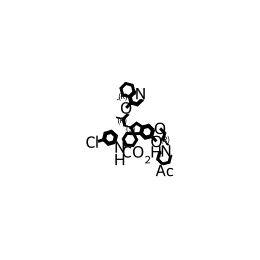 CC(=O)C1CCN(C[C@@H]2COc3cc4c(cc3O2)C2(CCC(Nc3cccc(Cl)c3)(C(=O)O)CC2)[C@@H](C[C@@H](C)COc2ccnc3c2[C@H](C)CCC3)C4)CC1